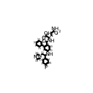 NC(=O)CC[C@H](NC(=O)c1ccc(NC(Cn2ccnc2)c2ccc(F)cc2)cc1-c1ccccc1)C(=O)O